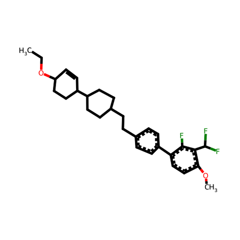 CCOC1C=CC(C2CCC(CCc3ccc(-c4ccc(OC)c(C(F)F)c4F)cc3)CC2)CC1